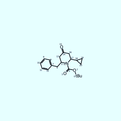 CC(C)(C)OC(=O)N1C(Cc2ccccc2)CC(=O)CC1C1CC1